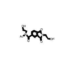 CC(=O)N(CCO)C(=O)c1ccc2c(c1)C(=O)N(CCO)C2=O